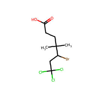 CC(C)(CCC(=O)O)C(Br)CC(Cl)(Cl)Cl